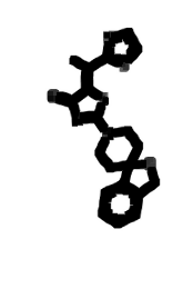 C/C(=C1/SC(N2CCC3(CC2)OCc2ccccc23)=NC1=O)c1nccs1